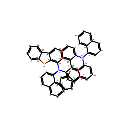 c1ccc(N(c2cccc3ccccc23)c2cccc3c2sc2ccccc23)c(-c2ccccc2N(c2cccc3ccccc23)c2cccc3c2sc2ccccc23)c1